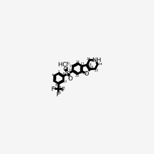 Cl.O=S(=O)(c1cccc(C(F)(F)F)c1)c1ccc2c3c(oc2c1)CCNC3